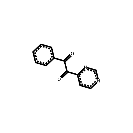 O=C(C(=O)c1ccncn1)c1ccccc1